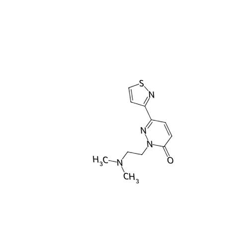 CN(C)CCn1nc(-c2ccsn2)ccc1=O